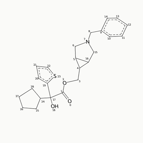 O=C(OCC1C2CN(Cc3ccccc3)CC12)C(O)(c1cccs1)C1CCCC1